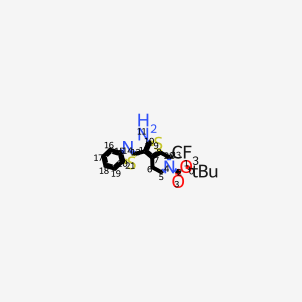 CC(C)(C)OC(=O)N1CCc2c(sc(N)c2-c2nc3ccccc3s2)C1C(F)(F)F